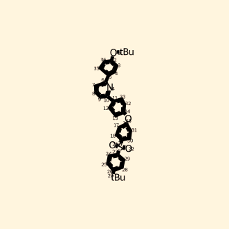 CC(C)(C)Oc1ccc(-c2cccc(-c3ccc(Oc4ccc(S(=O)(=O)c5ccc(C(C)(C)C)cc5)cc4)cc3)n2)cc1